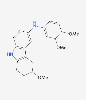 COC1CCc2[nH]c3ccc(NC4=CC(OC)C(OC)C=C4)cc3c2C1